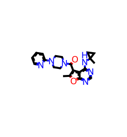 Cc1oc2ncnc(NC3(C)CC3)c2c1C(=O)N1CCN(c2ccccn2)CC1